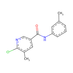 Cc1cccc(NC(=O)c2cnc(Cl)c(C)c2)c1